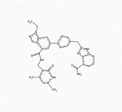 CCn1ncc2c(C(=O)NCc3c(C)cc(C)[nH]c3=O)cc(-c3ccc(Cc4nc5c(C(N)=O)cccc5[nH]4)cc3)cc21